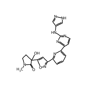 CN1CCC(O)(c2cc(-c3cccc(-c4ccnc(Nc5cn[nH]c5)n4)n3)no2)C1=O